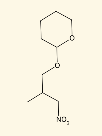 CC(COC1CCCCO1)C[N+](=O)[O-]